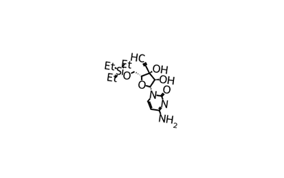 C#C[C@@]1(O)[C@@H](CO[Si](CC)(CC)CC)O[C@@H](n2ccc(N)nc2=O)[C@@H]1O